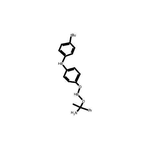 CC(C)C(C)(N)OBOc1ccc(Bc2ccc(C(C)(C)C)cc2)cc1